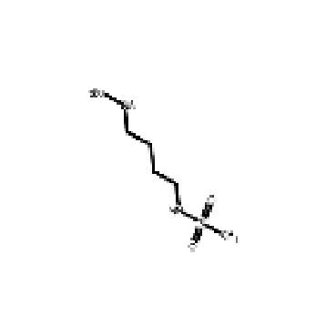 CC(C)(C)NCCCCNS(C)(=O)=O